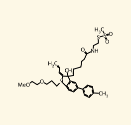 C=C/C=C1/N(CCCOCCOC)c2ccc(-c3ccc(C)cc3)cc2C1(C)CCCCCC(=O)NCCSS(C)(=O)=O